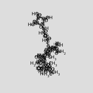 CC(=O)CNC(=O)[C@@H](NC(=O)[C@H](C)NC(=O)[C@H](Cc1c[nH]c2ccccc12)NC(=O)[C@H](CCC(N)=O)NC(=O)[C@H](CC(N)=O)NC(=O)CNC(=O)[C@H](CC(C)C)NC(=O)[C@H](CCCCNC(=O)c1ccc(NC(=O)CNC(=O)CN2CCN(CC(=O)O)CCN(CC(=O)O)CCN(CC(=O)O)CC2)cc1)NC(=O)C(CCC(N)=O)NC(=O)[C@@H]1CCCN1)C(C)C